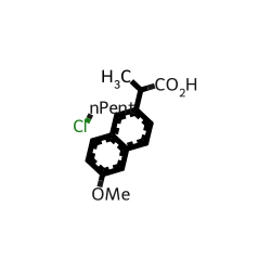 CCCCCCl.COc1ccc2cc(C(C)C(=O)O)ccc2c1